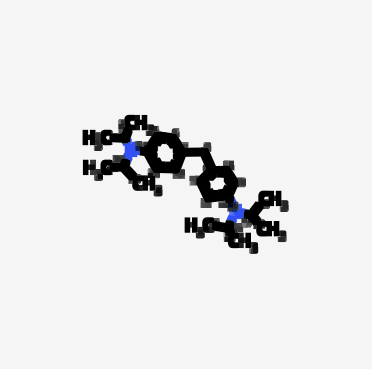 CC(C)N(c1ccc(Cc2ccc(N(C(C)C)C(C)C)cc2)cc1)C(C)C